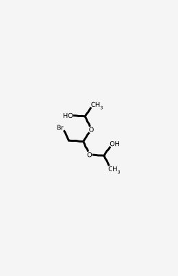 CC(O)OC(CBr)OC(C)O